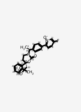 C[C@@H](c1ccc(-c2ccc(F)c[n+]2[O-])cc1)N1CC[C@](CC(C)(C)O)(c2ccccc2)OC1=O